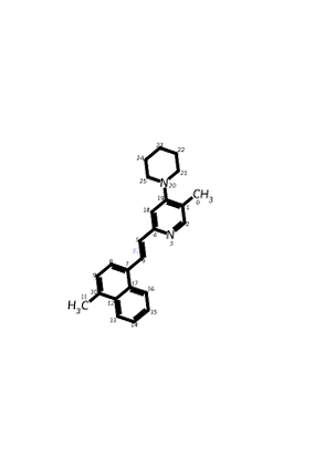 Cc1cnc(/C=C/c2ccc(C)c3ccccc23)cc1N1CCCCC1